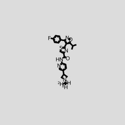 [2H]C([2H])([2H])N1CC(c2ccc(NC(=O)c3csc(-c4c(-c5ccc(F)cc5)noc4C(C)C)n3)nc2)C1